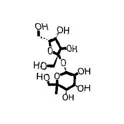 CC1(CO)O[C@H](O[C@]2(CO)O[C@H](CO)[C@H](O)C2O)C(O)[C@H](O)[C@@H]1O